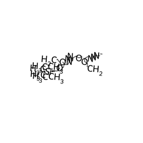 C=CCO[C@H](COCC#C[Si](C(C)C)(C(C)C)C(C)C)Cn1cc(COC[C@H](CN=[N+]=[N-])OCC=C)nn1